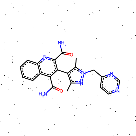 Cc1nn(Cc2ccncn2)c(C)c1-c1c(C(N)=O)nc2ccccc2c1C(N)=O